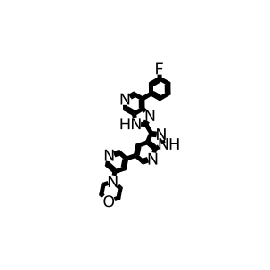 Fc1cccc(-c2cncc3[nH]c(-c4n[nH]c5ncc(-c6cncc(N7CCOCC7)c6)cc45)nc23)c1